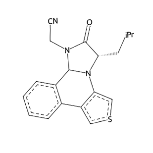 CC(C)C[C@H]1C(=O)N(CC#N)C2c3ccccc3-c3cscc3N21